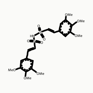 COc1cc(/C=C/S(=O)(=O)NS(=O)(=O)/C=C/c2cc(OC)c(OC)c(OC)c2)cc(OC)c1OC